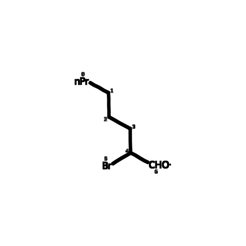 CCCCCCC(Br)[C]=O